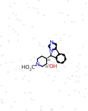 O=C(O)N1CC[C@@H](C2c3ccccc3-c3cncn32)[C@H](O)C1